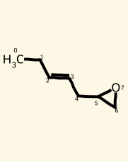 CCC=CCC1CO1